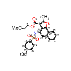 COCCOC(=O)c1c(C)oc2c1c(NS(=O)(=O)c1ccc(C(C)(C)C)cc1)cc1ccccc12